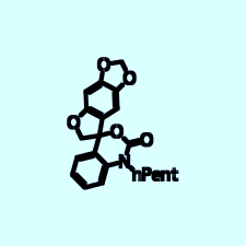 CCCCCN1C(=O)OC2(COc3cc4c(cc32)OCO4)c2ccccc21